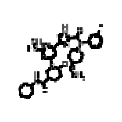 CNc1nc(-c2c[nH]c(C(=O)N(c3cccc(F)c3)N3CCC(CN)CC3)n2)cc(N2CC(C(=O)NC3CCCCC3)CCC2C)n1